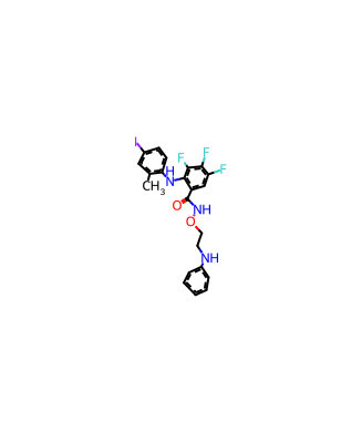 Cc1cc(I)ccc1Nc1c(C(=O)NOCCNc2ccccc2)cc(F)c(F)c1F